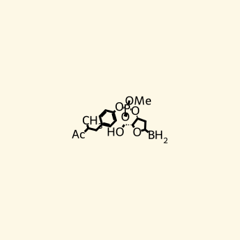 BC1C[C@@H](OP(=O)(OC)Oc2ccc(CC(C)C(C)=O)cc2)[C@@H](CO)O1